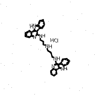 Cl.c1ccc2c(c1)nc(NCCCNCCCNc1nc3ccccc3c3[nH]c4ccccc4c13)c1c3ccccc3[nH]c21